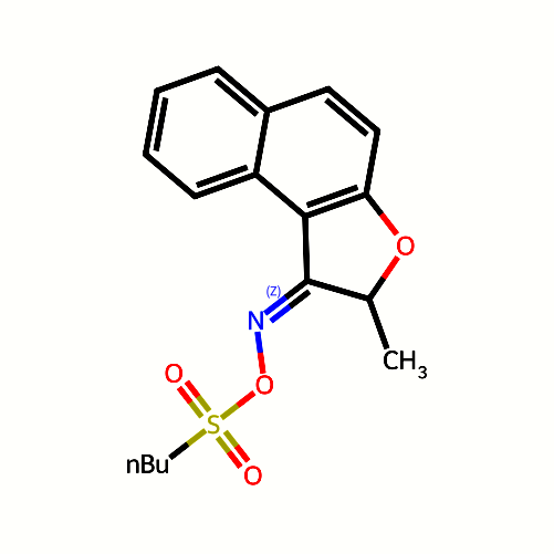 CCCCS(=O)(=O)O/N=C1/c2c(ccc3ccccc23)OC1C